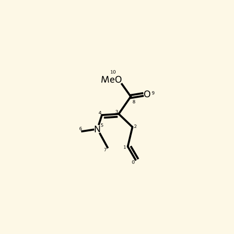 C=CCC(=CN(C)C)C(=O)OC